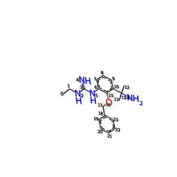 CCNC(=N)Nc1cccc(C(C)(C)N)c1OCc1ccccc1